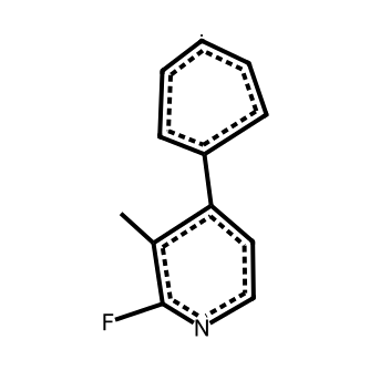 Cc1c(-c2cc[c]cc2)ccnc1F